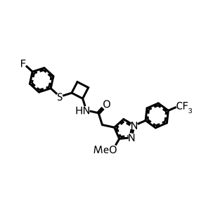 COc1nn(-c2ccc(C(F)(F)F)cc2)cc1CC(=O)NC1CCC1Sc1ccc(F)cc1